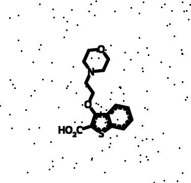 O=C(O)c1sc2ccccc2c1OCCN1CCOCC1